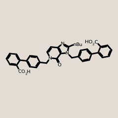 CCCCc1nc2ccn(Cc3ccc(-c4ccccc4C(=O)O)cc3)c(=O)c2n1Cc1ccc(-c2ccccc2C(=O)O)cc1